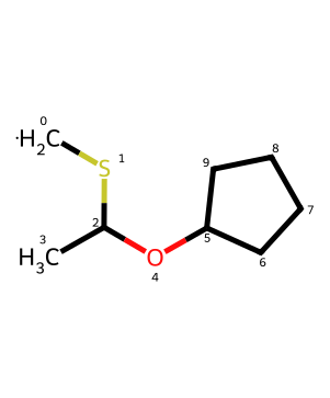 [CH2]SC(C)OC1CCCC1